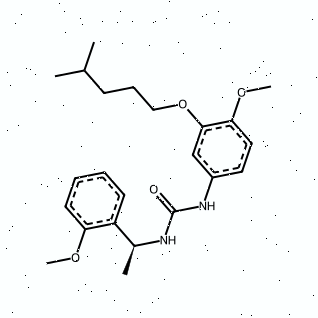 COc1ccc(NC(=O)N[C@@H](C)c2ccccc2OC)cc1OCCCC(C)C